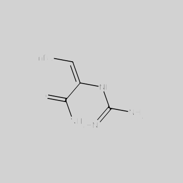 CCCC/C=C(/NC(=N)N)C(N)=O